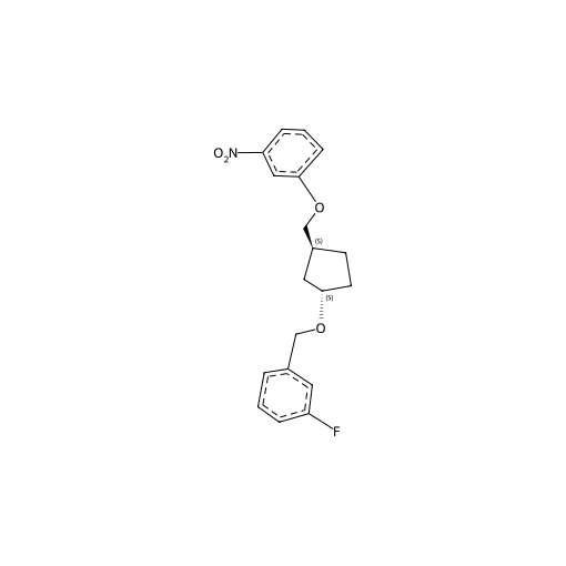 O=[N+]([O-])c1cccc(OC[C@H]2CC[C@H](OCc3cccc(F)c3)C2)c1